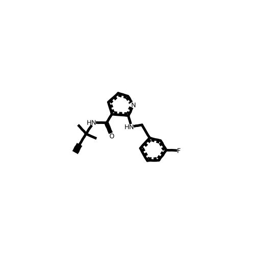 C#CC(C)(C)NC(=O)c1cccnc1NCc1cccc(F)c1